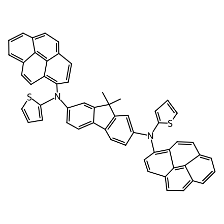 CC1(C)c2cc(N(c3cccs3)c3ccc4ccc5cccc6ccc3c4c56)ccc2-c2ccc(N(c3cccs3)c3ccc4ccc5cccc6ccc3c4c56)cc21